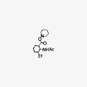 CCc1cccc(C(=O)ON2CCCCC2)c1NC(C)=O